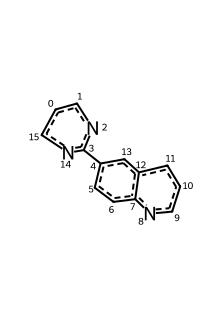 c1cnc(-c2ccc3ncccc3c2)nc1